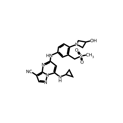 CS(=O)(=O)Cc1cc(Nc2cc(NC3CC3)n3ncc(C#N)c3n2)ccc1N1CC(O)C1